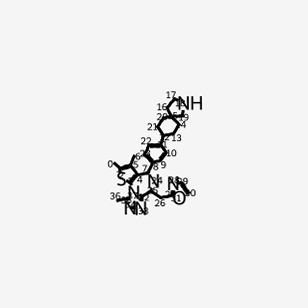 Cc1sc2c(c1C)C(c1ccc(C3CCC4(CCNC4)CC3)cc1)=NC(Cc1ncco1)c1nnc(C)n1-2